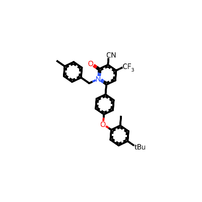 Cc1ccc(Cn2c(-c3ccc(Oc4ccc(C(C)(C)C)cc4C)cc3)cc(C(F)(F)F)c(C#N)c2=O)cc1